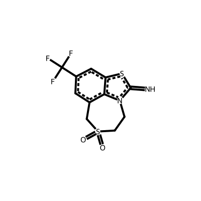 N=c1sc2cc(C(F)(F)F)cc3c2n1CCS(=O)(=O)C3